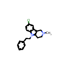 CN1CCc2c(c3cc(Cl)ccc3n2CCc2ccccc2)C1